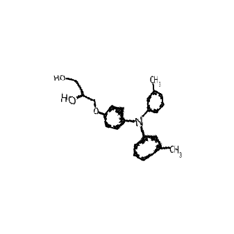 Cc1cccc(N(c2ccc(OCC(O)CO)cc2)c2cccc(C)c2)c1